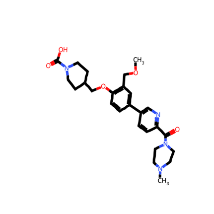 COCc1cc(-c2ccc(C(=O)N3CCN(C)CC3)nc2)ccc1OCC1CCN(C(=O)O)CC1